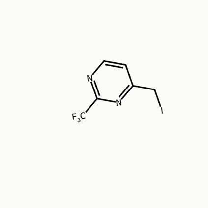 FC(F)(F)c1nccc(CI)n1